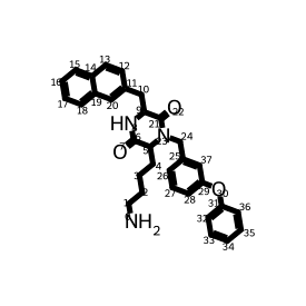 NCCCCC1C(=O)NC(Cc2ccc3ccccc3c2)C(=O)N1Cc1cccc(Oc2ccccc2)c1